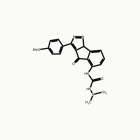 COc1ccc(C2=C3C(=O)c4c(NC(=O)NN(C)C)cccc4C3N=N2)cc1